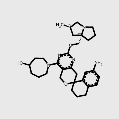 C[C@H]1CN2CCC[C@@]2(COc2nc3c(c(N4CCCC(O)CC4)n2)COC2(CCCc4ccc(N)cc42)C3)C1